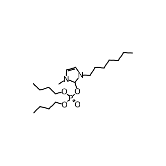 CCCCCCCN1C=CN(C)C1OP(=O)(OCCCC)OCCCC